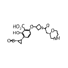 O=B[C@@H]1C[C@@H]1c1ccc(OC2CN(C(=O)C[C@@H]3CNCCO3)C2)c(C(=O)O)c1O